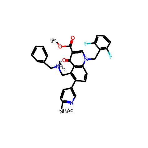 CC(=O)Nc1ccc(-c2ccc3c(c2CN(C)Cc2ccccc2)c(=O)c(C(=O)OC(C)C)cn3Cc2c(F)cccc2F)cn1